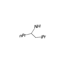 CCCC([NH])CC(C)C